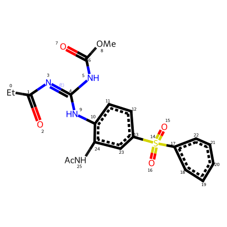 CCC(=O)/N=C(/NC(=O)OC)Nc1ccc(S(=O)(=O)c2ccccc2)cc1NC(C)=O